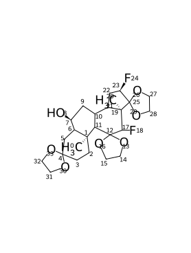 C[C@]12CCC3(CC1[C@@H](O)CC1C2C2(OCCO2)C(F)[C@@]2(C)C1C[C@@H](F)C21OCCO1)OCCO3